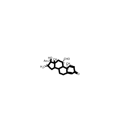 CC(=O)[C@@]1(O)[C@H](C)CC2C3CCC4=CC(=O)C=C[C@]4(C)C3[C@@H](C=O)CC21C